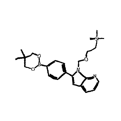 CC1(C)COB(c2ccc(-c3cc4cccnc4n3COCC[Si](C)(C)C)cc2)OC1